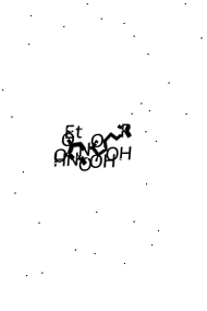 C=P(C)(C)CCC1OC(n2cc(OCC)c(=O)[nH]c2=O)[C@H](O)[C@@H]1O